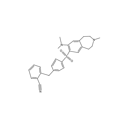 CN1CCc2cc(N(C)C)c(S(=O)(=O)c3ccc(Cc4ccccc4C#N)cc3)cc2CC1